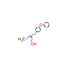 CCCN(CCO)CCc1ccc(Oc2ccccc2)cc1